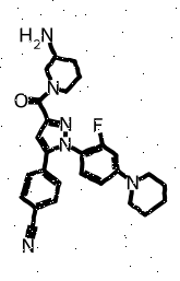 N#Cc1ccc(-c2cc(C(=O)N3CCCC(N)C3)nn2-c2ccc(N3CCCCC3)cc2F)cc1